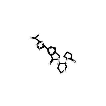 O=C1CCCN1[C@@H]1COCC[C@H]1N1Cc2ccc(-c3nnc(C(F)F)o3)cc2C1=O